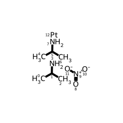 CC(C)N.CC(C)N.O=[N+]([O-])[O-].[Pt]